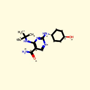 CC(C)(C)C(C)(C)Nc1nc(N[C@H]2CC[C@H](O)CC2)ncc1C(N)=O